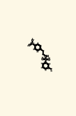 O=[N+]([O-])c1ccc(CCNS(=O)(=O)c2cccc(F)c2)cc1